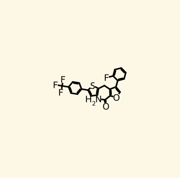 NC(=O)c1occ(-c2ccccc2F)c1Cc1ccc(-c2ccc(C(F)(F)F)cc2)s1